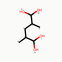 CC(CC(C)C(O)O)C(O)O